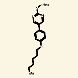 CCCCCCSc1ncc(-c2ccc(OCCCCCC(C)CC)cc2)cn1